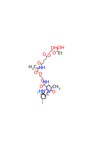 CCC(CO)OC(O)COC(=O)CCCC(=O)N[C@@H](C)C(=O)OCCONC(=O)c1cc(C)c(=O)n(C)c1Nc1ccc(I)cc1F